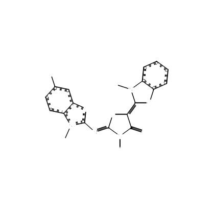 CCN1C(=O)/C(=C2\Oc3ccccc3N2C)S/C1=N\c1sc2cc(Cl)ccc2[n+]1C